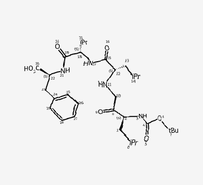 CC(C)C[C@H](NC(=O)OC(C)(C)C)C(=O)CN[C@@H](CC(C)C)C(=O)N[C@H](C(=O)N[C@@H](Cc1ccccc1)C(=O)O)C(C)C